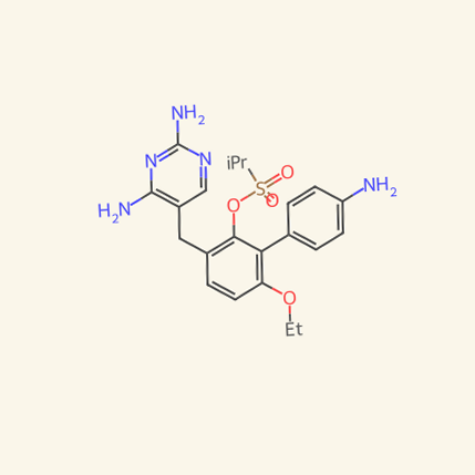 CCOc1ccc(Cc2cnc(N)nc2N)c(OS(=O)(=O)C(C)C)c1-c1ccc(N)cc1